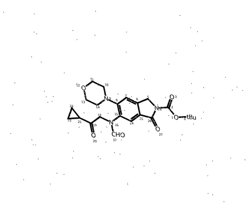 CC(C)(C)OC(=O)N1Cc2cc(N3CCOCC3)c(N(C=O)CC(=O)C3CC3)cc2C1=O